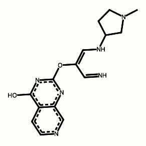 CN1CCC(N/C=C(\C=N)Oc2nc(O)c3ccncc3n2)C1